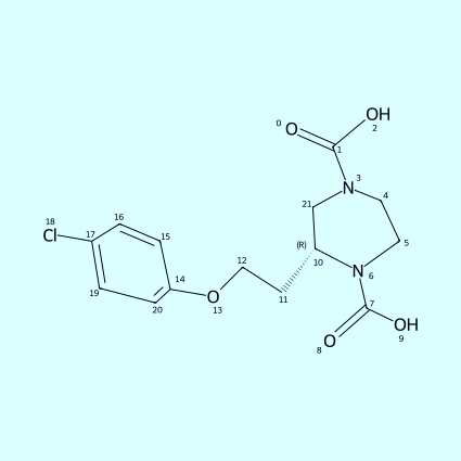 O=C(O)N1CCN(C(=O)O)[C@H](CCOc2ccc(Cl)cc2)C1